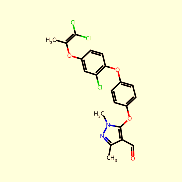 CC(Oc1ccc(Oc2ccc(Oc3c(C=O)c(C)nn3C)cc2)c(Cl)c1)=C(Cl)Cl